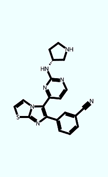 N#Cc1cccc(-c2nc3sccn3c2-c2ccnc(N[C@@H]3CCNC3)n2)c1